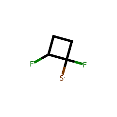 FC1CCC1(F)[S]